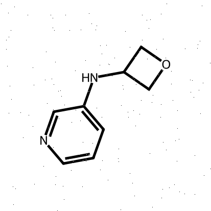 c1cncc(NC2COC2)c1